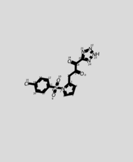 O=C(Cc1cccn1S(=O)(=O)c1ccc(Cl)cc1)C(=O)c1nn[nH]n1